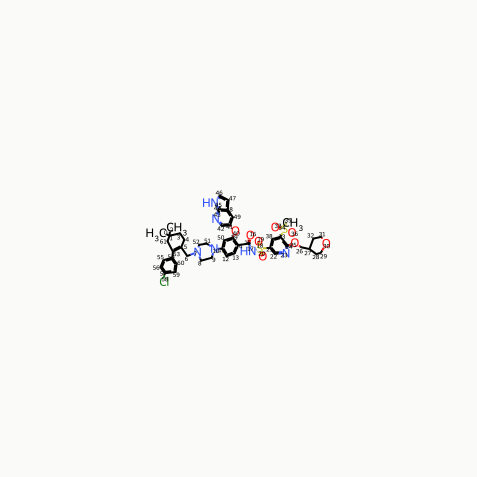 CC1(C)CCC(CN2CCN(c3ccc(C(=O)NS(=O)(=O)c4cnc(OCC5CCOCC5)c(S(C)(=O)=O)c4)c(Oc4cnc5[nH]ccc5c4)c3)CC2)=C(c2ccc(Cl)cc2)C1